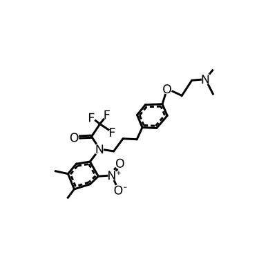 Cc1cc(N(CCCc2ccc(OCCN(C)C)cc2)C(=O)C(F)(F)F)c([N+](=O)[O-])cc1C